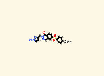 COc1ccc(S(=O)(=O)c2ccc3c(=O)n(Cc4cc[nH]n4)ncc3c2)cc1